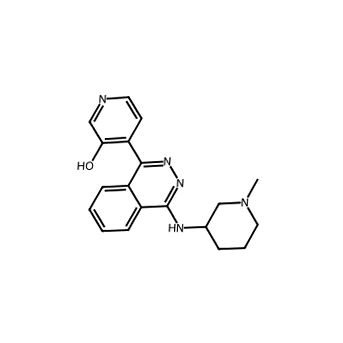 CN1CCCC(Nc2nnc(-c3ccncc3O)c3ccccc23)C1